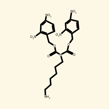 NCCCCCCN(C(=O)OCc1ccc([N+](=O)[O-])cc1[N+](=O)[O-])C(=O)OCc1ccc([N+](=O)[O-])cc1[N+](=O)[O-]